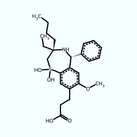 CCCC[C@]1(CC)CS(O)(O)c2cc(CCC(=O)O)c(OC)cc2[C@@H](c2ccccc2)N1